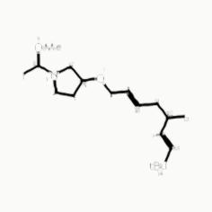 COC(C)N1CCC(OC/C=C/CC(C)/C=C/C(C)(C)C)C1